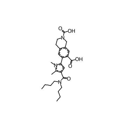 CCCCN(CCCC)C(=O)c1cc(-c2cc3c(cc2C(=O)O)CN(C(=O)O)CC3)n(C)c1C